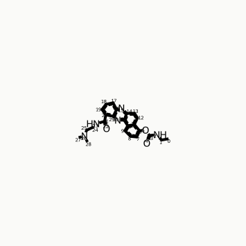 CCNC(=O)Oc1cccc2c1ccc1nc3cccc(C(=O)NCCN(C)C)c3nc12